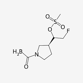 BC(=O)N1CC[C@H](C(CF)OS(C)(=O)=O)C1